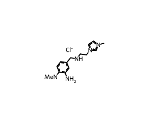 CNc1ccc(CNCC[n+]2ccn(C)c2)cc1N.[Cl-]